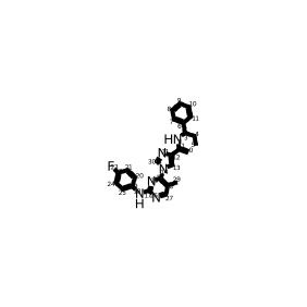 C=C(NC(CC)c1ccccc1)c1cn(-c2nc(Nc3ccc(F)cc3)ncc2C)cn1